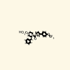 O=C(O)N1CCN(C(=O)n2ncc(-c3ccc(OC(F)(F)F)cc3)n2)[C@@H](Cc2ccccc2)C1